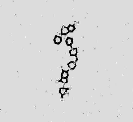 O=C1CC[C@H](N2Cc3cc(N4CCN(CC5CCN(c6ccc([C@H]7c8ccc(O)cc8OC[C@H]7c7ccccc7)cc6)CC5)CC4)c(F)cc3C2=O)C(=O)N1